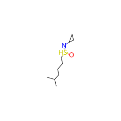 CC(C)CCCC/[SH](=O)=N/C1CC1